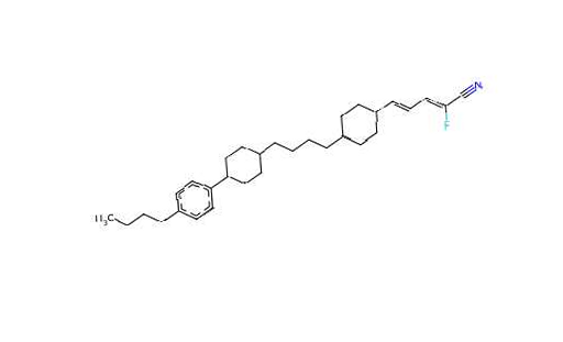 CCCCc1ccc(C2CCC(CCCCC3CCC(C=CC=C(F)C#N)CC3)CC2)cc1